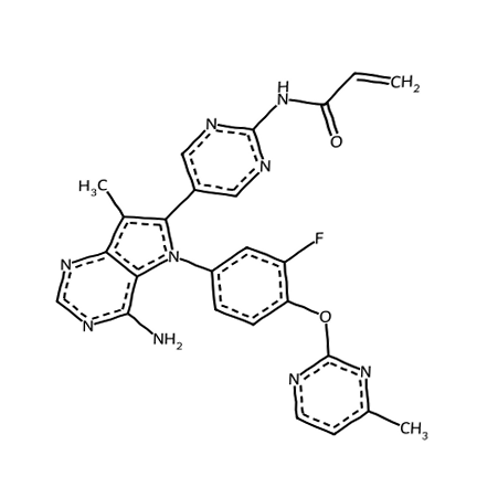 C=CC(=O)Nc1ncc(-c2c(C)c3ncnc(N)c3n2-c2ccc(Oc3nccc(C)n3)c(F)c2)cn1